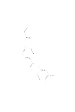 CCCC=CC(=O)Oc1ccc(C(=O)Oc2ccc(Cl)c(F)c2)cc1